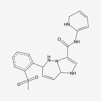 CS(=O)(=O)c1ccccc1C1C=CC2NC=C(C(=O)NC3=CC=CCN3)N2N1